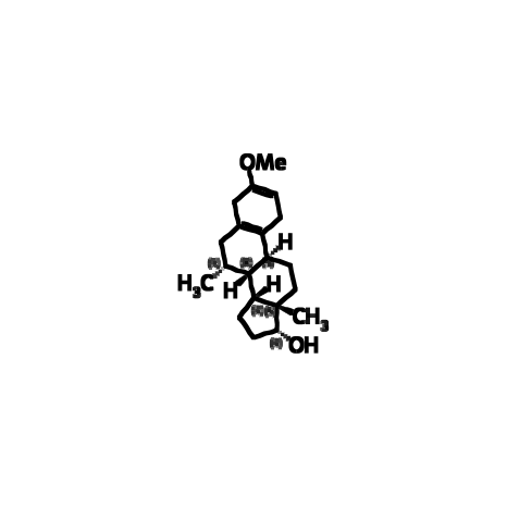 COC1=CCC2=C(C1)C[C@@H](C)[C@@H]1[C@@H]2CC[C@]2(C)[C@H](O)CC[C@H]12